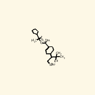 CCC(C)(C)C(CC(C)(C)C)C1CC=C(C(O)OC(C)(C)C2CCCC2)CC1